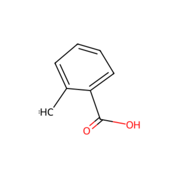 [CH]c1ccccc1C(=O)O